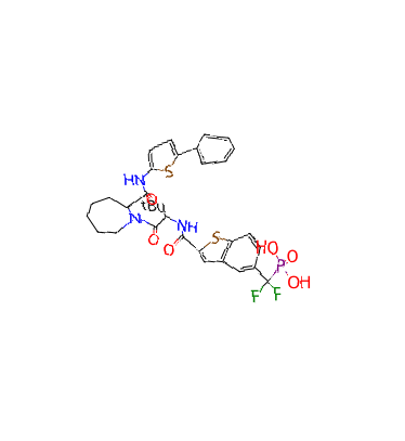 CC(C)(C)C(NC(=O)c1cc2cc(C(F)(F)P(=O)(O)O)ccc2s1)C(=O)N1CCCCCC1C(=O)Nc1ccc(-c2ccccc2)s1